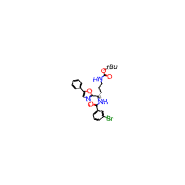 CC(C)(C)OC(=O)NCCC[C@H](NC(=O)c1cccc(Br)c1)c1ncc(-c2ccccc2)o1